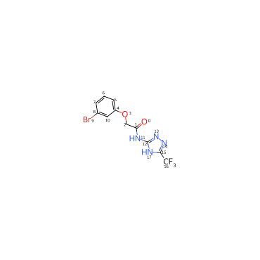 O=C(COc1cccc(Br)c1)Nc1nnc(C(F)(F)F)[nH]1